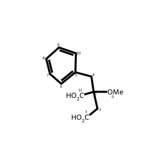 COC(CC(=O)O)(Cc1ccccc1)C(=O)O